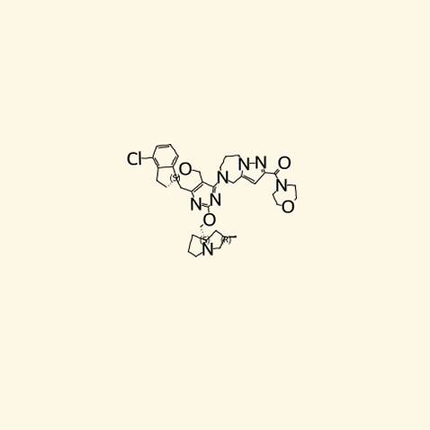 C[C@H]1CN2CCC[C@@]2(COc2nc3c(c(N4CCCn5nc(C(=O)N6CCOCC6)cc5C4)n2)CO[C@@]2(CCc4c(Cl)cccc42)C3)C1